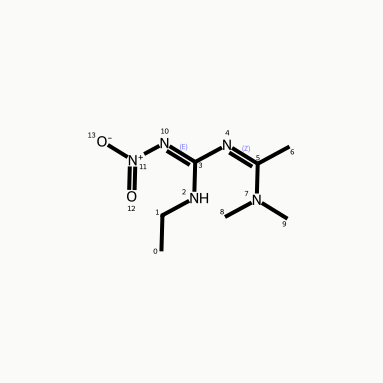 CCNC(/N=C(/C)N(C)C)=N\[N+](=O)[O-]